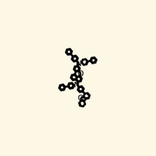 C1=CC(c2ccc(N(c3ccc(-c4ccccc4)cc3)c3ccc4c5c(cccc35)-c3ccc(N(c5ccc(-c6ccccc6)cc5)C5CC=C(c6ccccc6)CC5)cc3O4)cc2)C2OC3=C(CCC=C3)C2=C1